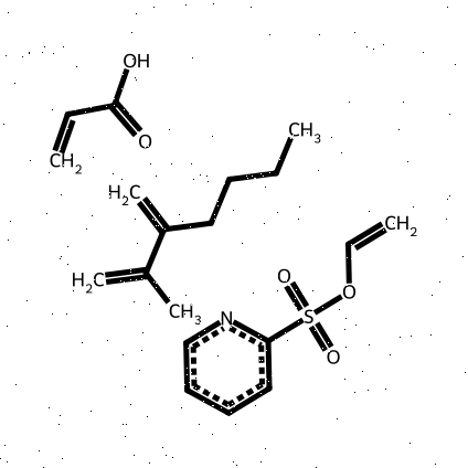 C=C(C)C(=C)CCCC.C=CC(=O)O.C=COS(=O)(=O)c1ccccn1